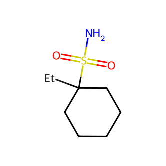 CCC1(S(N)(=O)=O)CCCCC1